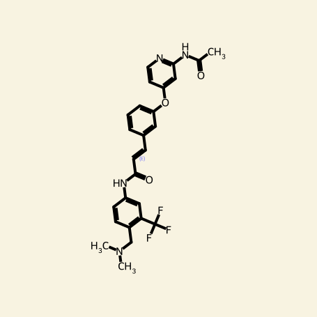 CC(=O)Nc1cc(Oc2cccc(/C=C/C(=O)Nc3ccc(CN(C)C)c(C(F)(F)F)c3)c2)ccn1